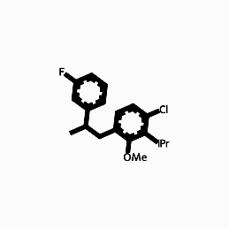 COc1c(CC(C)c2cccc(F)c2)ccc(Cl)c1C(C)C